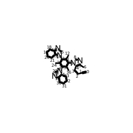 C#C/C=C\c1c(C)ncn1-c1c(C)c(-n2cnc3ccccc32)c(C)c(-n2cnc3ccccc32)c1C